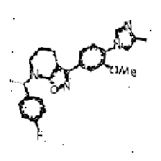 COc1cc(-c2noc3c2CCCN3[C@@H](C)c2ccc(F)cc2)ccc1-n1cnc(C)c1